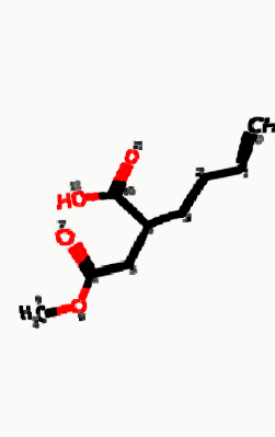 C=CCCC(CC(=O)OC)C(=O)O